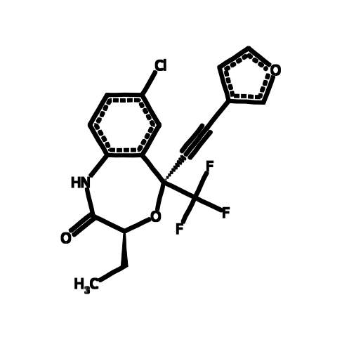 CC[C@@H]1O[C@](C#Cc2ccoc2)(C(F)(F)F)c2cc(Cl)ccc2NC1=O